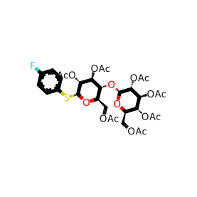 CC(=O)OC[C@H]1O[C@@H](Sc2ccc(F)cc2)[C@H](OC(C)=O)[C@@H](OC(C)=O)[C@@H]1O[C@H]1O[C@H](COC(C)=O)[C@@H](OC(C)=O)[C@H](OC(C)=O)[C@H]1OC(C)=O